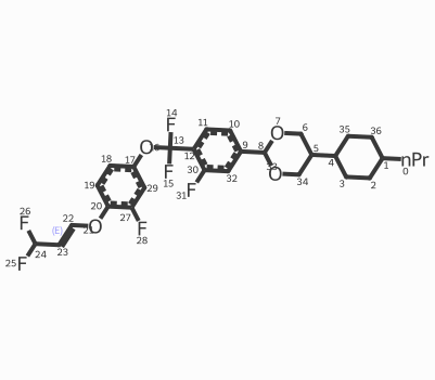 CCCC1CCC(C2COC(c3ccc(C(F)(F)Oc4ccc(O/C=C/C(F)F)c(F)c4)c(F)c3)OC2)CC1